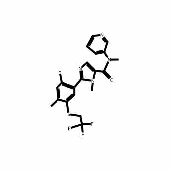 Cc1cc(F)c(-c2ncc(C(=O)N(C)c3cccnc3)n2C)cc1SCC(F)(F)F